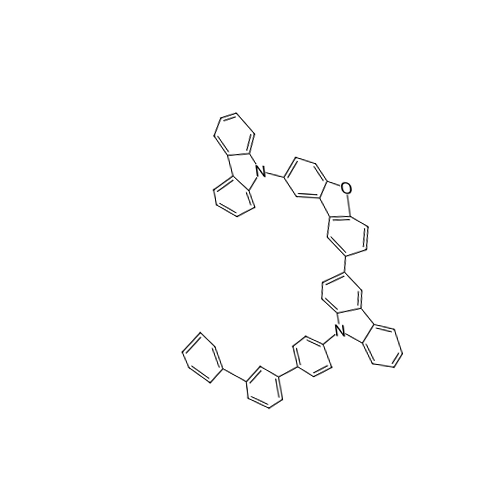 c1ccc(-c2cccc(-c3ccc(-n4c5ccccc5c5cc(-c6ccc7oc8ccc(-n9c%10ccccc%10c%10ccccc%109)cc8c7c6)ccc54)cc3)c2)cc1